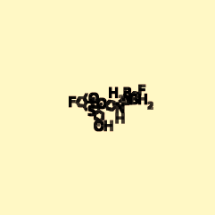 BC(B)(CCF)N1CC(Nc2ccc(Oc3c(C(=O)c4c(C)cc(F)cc4C)sc4cc(O)ccc34)cc2)C1